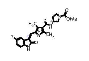 COC(=O)N1CC[C@H](NC(=O)c2c(C)[nH]c(/C=C3\C(=O)Nc4ccc(F)cc43)c2C)C1